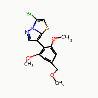 COCc1cc(OC)c(-c2cnn3c(Br)csc23)c(OC)c1